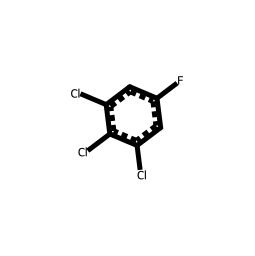 Fc1cc(Cl)c(Cl)c(Cl)c1